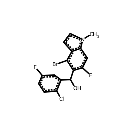 Cn1ccc2c(Br)c(C(O)c3cc(F)ccc3Cl)c(F)cc21